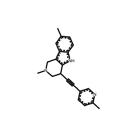 Cc1ccc2[nH]c3c(c2c1)CN(C)CC3C#Cc1ccc(C)nc1